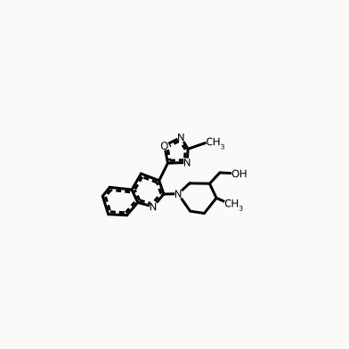 Cc1noc(-c2cc3ccccc3nc2N2CCC(C)C(CO)C2)n1